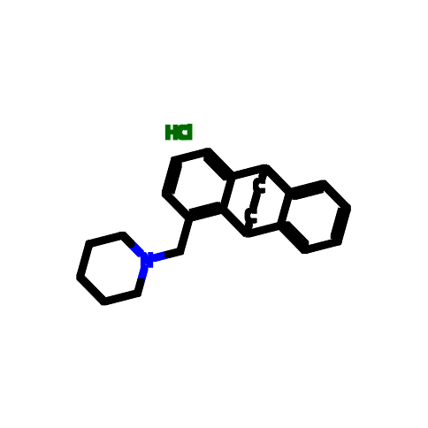 Cl.c1ccc2c(c1)C1CCC2c2c(CN3CCCCC3)cccc21